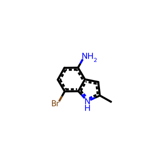 Cc1cc2c(N)ccc(Br)c2[nH]1